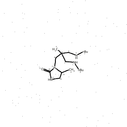 CCCCNCC(C)(CNCCCC)CN1C(=O)NCC1C